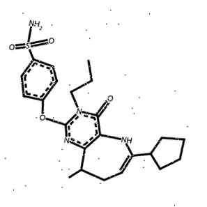 CCCn1c(Oc2ccc(S(N)(=O)=O)cc2)nc2c(c1=O)NC(C1CCCC1)=CCC2C